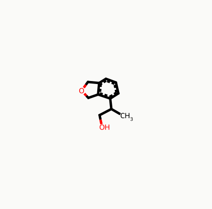 CC(CO)c1cccc2c1COC2